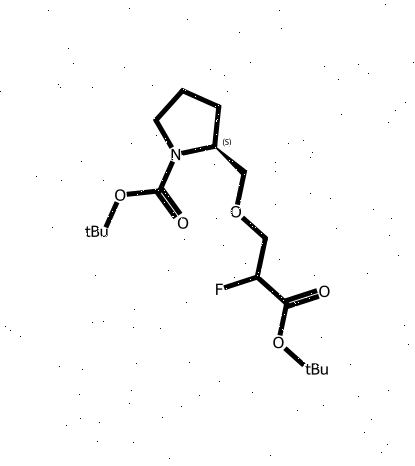 CC(C)(C)OC(=O)C(F)COC[C@@H]1CCCN1C(=O)OC(C)(C)C